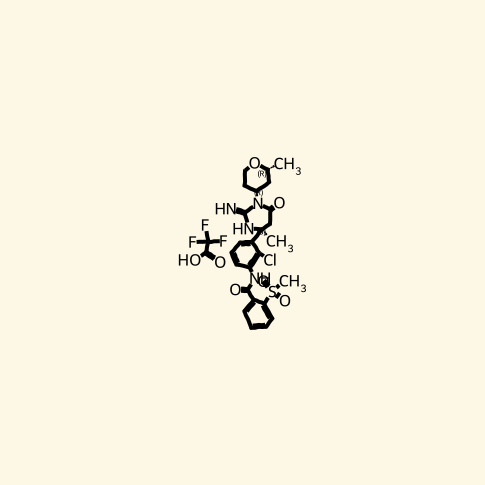 C[C@@H]1C[C@H](N2C(=N)N[C@](C)(c3cccc(NC(=O)c4ccccc4S(C)(=O)=O)c3Cl)CC2=O)CCO1.O=C(O)C(F)(F)F